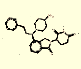 NC1CCC(N(CCc2ccccc2)c2cccc3c2CN(C2CCC(=O)NC2=O)C3=O)CC1